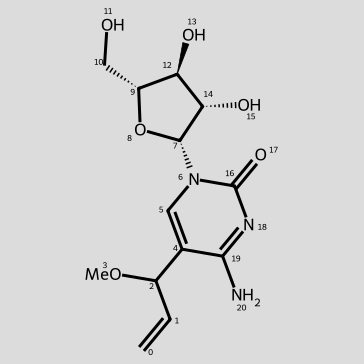 C=CC(OC)c1cn([C@@H]2O[C@H](CO)[C@@H](O)[C@@H]2O)c(=O)nc1N